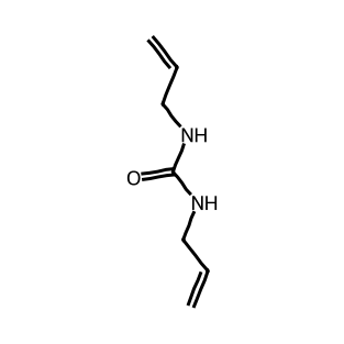 C=CCNC(=O)NCC=C